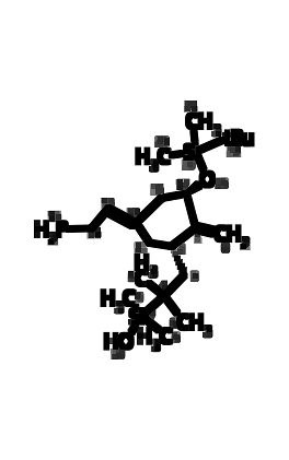 C=C1[C@H](CC(C)(C)[Si](C)(C)O)C/C(=C\CP)C[C@H]1O[Si](C)(C)C(C)(C)C